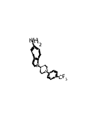 Nc1ccc2c(ccn2C2CCN(c3ccc(C(F)(F)F)cc3)CC2)c1